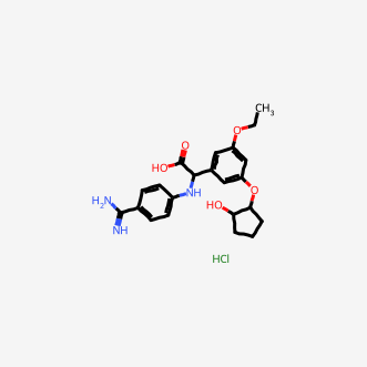 CCOc1cc(OC2CCCC2O)cc(C(Nc2ccc(C(=N)N)cc2)C(=O)O)c1.Cl